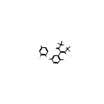 CCc1ccc(Oc2ccc(Br)cc2[N+](=O)[O-])cc1C1=C(O)C(C)(C)OC(C)(C)C1=O